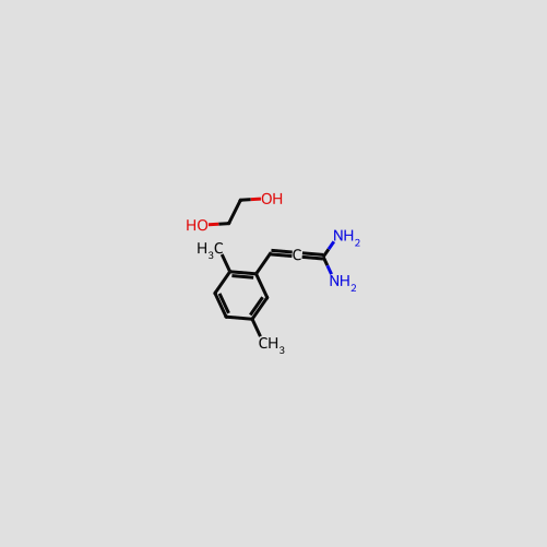 Cc1ccc(C)c(C=C=C(N)N)c1.OCCO